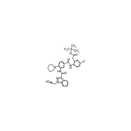 C#CCn1nc(C(=O)Nc2cc(C(=O)Nc3ccc(F)cc3CC(=O)OC(C)(C)C)ccc2N2CCCCC2)c2ccccc21